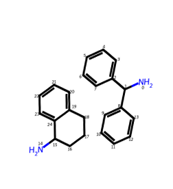 NC(c1ccccc1)c1ccccc1.NC1CCCc2ccccc21